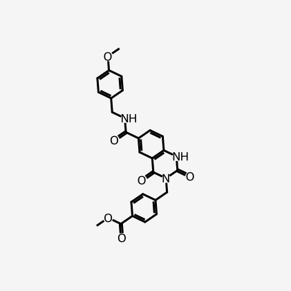 COC(=O)c1ccc(Cn2c(=O)[nH]c3ccc(C(=O)NCc4ccc(OC)cc4)cc3c2=O)cc1